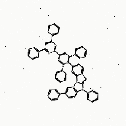 c1ccc(-c2ccc3c(c2)n2c4cc(-c5c(-c6ccccc6)cc(-c6nc(-c7ccccc7)cc(-c7ccccc7)n6)cc5-c5ccccc5)ccc4nc2n3-c2ccccc2)cc1